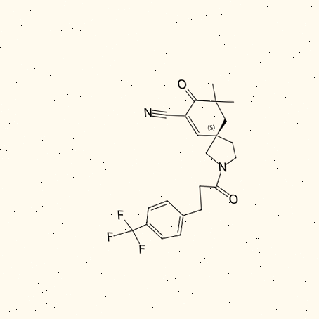 CC1(C)C[C@@]2(C=C(C#N)C1=O)CCN(C(=O)CCc1ccc(C(F)(F)F)cc1)C2